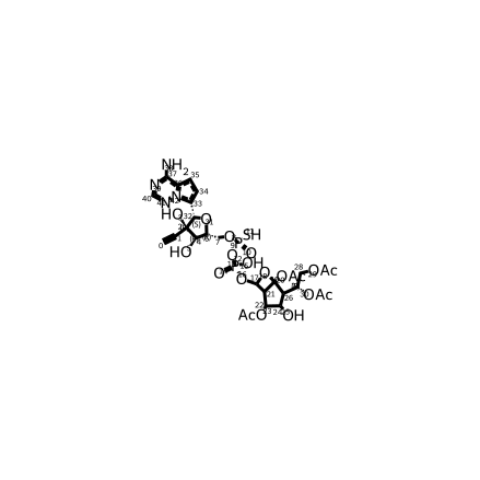 C#C[C@@]1(O)[C@H](O)[C@@H](COP(=O)(S)OP(=O)(O)OC2OC3(OC(C)=O)C2C(OC(C)=O)C(O)C3[C@H](COC(C)=O)OC(C)=O)O[C@H]1c1ccc2c(N)ncnn12